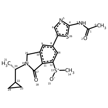 CC(=O)Nc1ncc(-c2cc3c(c([S+](C)[O-])c2)C(=O)N([C@@H](C)C2CC2)C3)s1